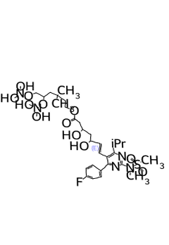 CC(C)c1nc(N(C)S(C)(=O)=O)nc(-c2ccc(F)cc2)c1/C=C/C(O)CC(O)CC(=O)OCCC(C)(C)CC(CON(O)O)ON(O)O